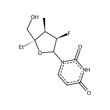 CC[C@@]1(CO)OC(n2ccc(=O)[nH]c2=O)[C@H](F)[C@@H]1C